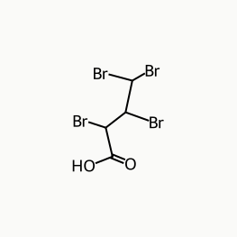 O=C(O)C(Br)C(Br)C(Br)Br